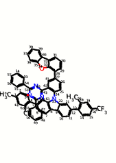 Cc1ccc(-c2ccc3c4ccc(-c5ccc(C(F)(F)F)cc5C)cc4n(-c4ccc(-c5cccc6c5oc5ccccc56)cc4-c4nc(-c5ccccc5)nc(-c5ccccc5)n4)c3c2)c(C(F)(F)F)c1